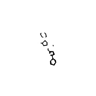 CC=O.OC1CC(OCc2ccc(-c3ccccc3)s2)C[C@H]1N1CCOCC1